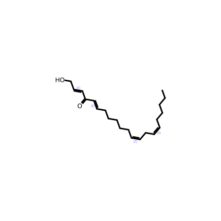 CCCCC/C=C\C/C=C\CCCCC/C=C/C(=O)/C=C/CO